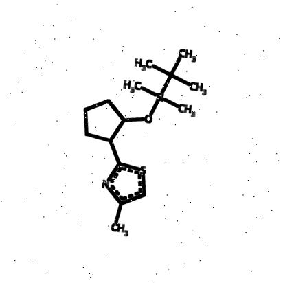 Cc1csc(C2CCCC2O[Si](C)(C)C(C)(C)C)n1